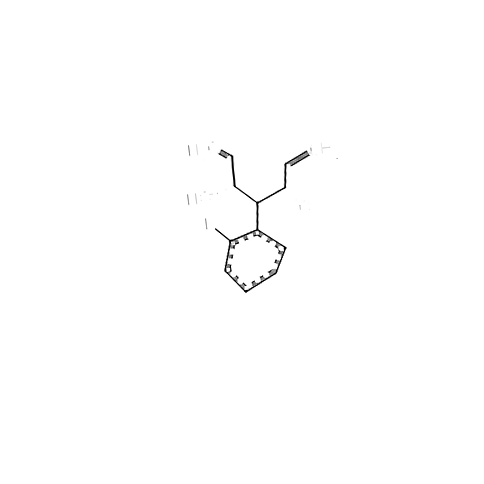 C=C[C@@H](O)C(c1ccccc1F)[C@@H](O)C=C